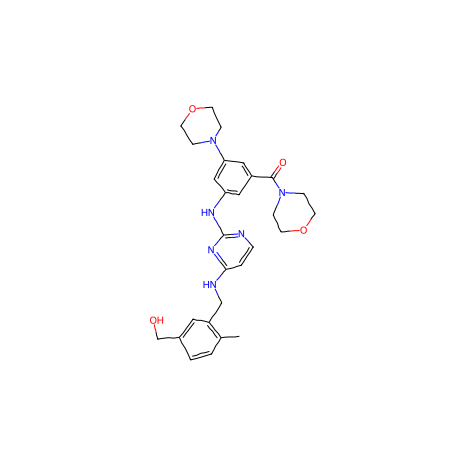 Cc1ccc(CO)cc1CNc1ccnc(Nc2cc(C(=O)N3CCOCC3)cc(N3CCOCC3)c2)n1